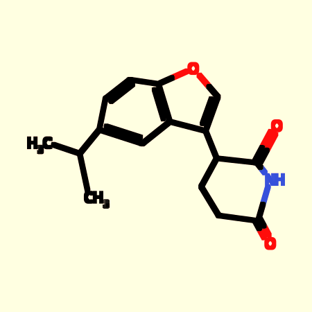 CC(C)c1ccc2occ(C3CCC(=O)NC3=O)c2c1